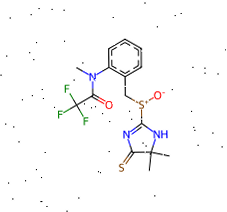 CN(C(=O)C(F)(F)F)c1ccccc1C[S+]([O-])C1=NC(=S)C(C)(C)N1